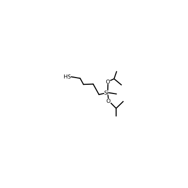 CC(C)O[Si](C)(CCCCS)OC(C)C